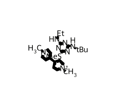 CCNc1nc(NC(C)(C)C)nc(SC)n1.C[n+]1ccc(-c2cc[n+](C)cc2)cc1